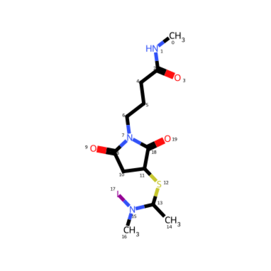 CNC(=O)CCCN1C(=O)CC(SC(C)N(C)I)C1=O